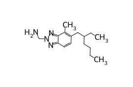 CCCCC(CC)Cc1ccc2nn(CN)nc2c1C